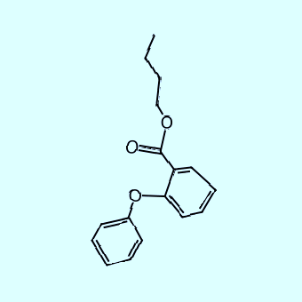 CCCCOC(=O)c1ccccc1Oc1ccccc1